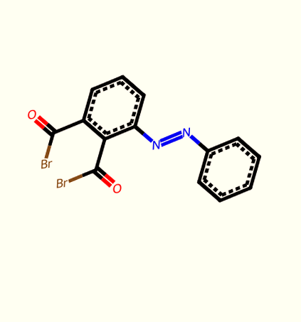 O=C(Br)c1cccc(N=Nc2ccccc2)c1C(=O)Br